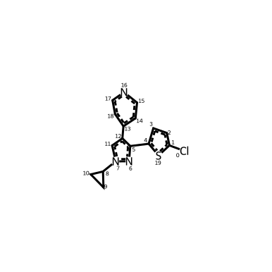 Clc1ccc(-c2nn(C3CC3)cc2-c2ccncc2)s1